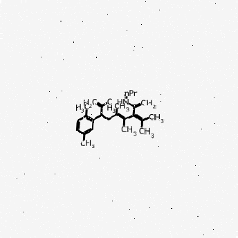 C=C(NCCC)C(=C(C)C)/C(C)=C(\C)CC(C(=C)C)c1cc(C)ccc1C